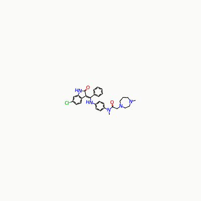 CN1CCCN(CC(=O)N(C)c2ccc(NC(=C3C(=O)Nc4cc(Cl)ccc43)c3ccccc3)cc2)CC1